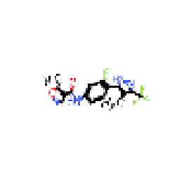 Cc1oncc1C(=O)Nc1ccc(-c2[nH]nc(C(F)(F)F)c2C)c(F)c1